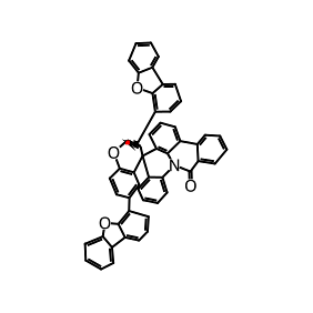 O=c1c2ccccc2c2cccc3c2n1-c1ccccc1C31c2cc(-c3cccc4c3oc3ccccc34)ccc2Oc2ccc(-c3cccc4c3oc3ccccc34)cc21